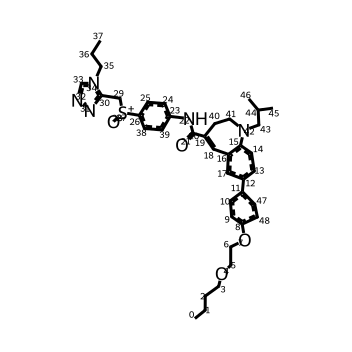 CCCCOCCOc1ccc(-c2ccc3c(c2)C=C(C(=O)Nc2ccc([S+]([O-])Cc4nncn4CCC)cc2)CCN3CC(C)C)cc1